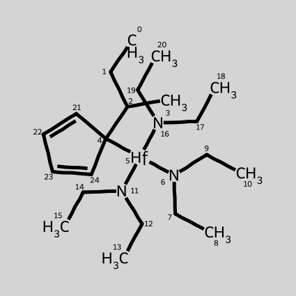 CCC(C)[C]1([Hf]([N](CC)CC)([N](CC)CC)[N](CC)CC)C=CC=C1